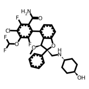 CO[C@H]1c2c(cccc2-c2c(F)c(OC(F)F)c(Cl)c(F)c2C(N)=O)O[C@]1(CN[C@H]1CC[C@H](O)CC1)c1ccccc1